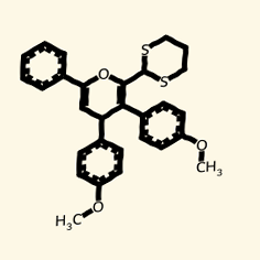 COc1ccc(C2=C(C3SCCCS3)OC(c3ccccc3)=CC2c2ccc(OC)cc2)cc1